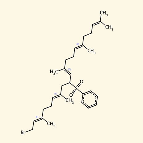 CC(C)=CCC/C(C)=C/CC/C(C)=C/C(C/C(C)=C/CC/C(C)=C/CBr)S(=O)(=O)c1ccccc1